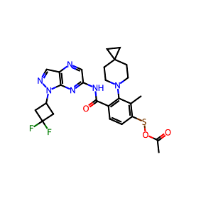 CC(=O)OSc1ccc(C(=O)Nc2cnc3cnn(C4CC(F)(F)C4)c3n2)c(N2CCC3(CC2)CC3)c1C